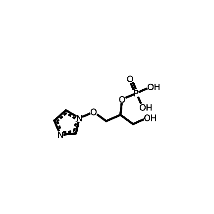 O=P(O)(O)OC(CO)COn1ccnc1